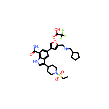 CCS(=O)(=O)N1CCC(c2c[nH]c3c(C(N)=O)cc(-c4coc(CNCC5CCCC5)c4)cc23)CC1.O=C(O)C(F)(F)F